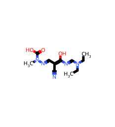 CCN(C=NC(O)=C(C#N)C=NN(C)C(=O)O)CC